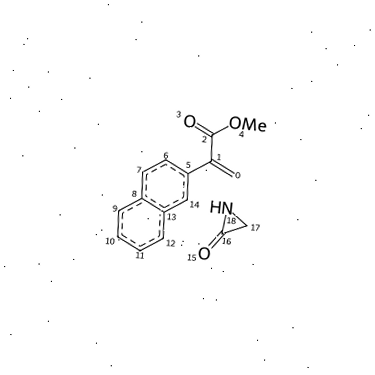 C=C(C(=O)OC)c1ccc2ccccc2c1.O=C1CN1